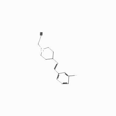 C#CCN1CCC(/C=C/c2cccc(F)c2)CC1